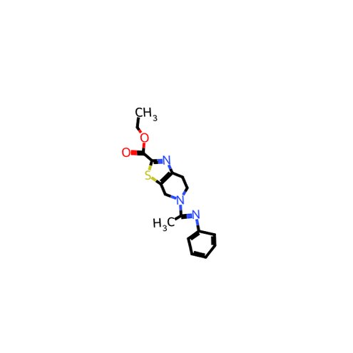 CCOC(=O)c1nc2c(s1)CN(/C(C)=N/c1ccccc1)CC2